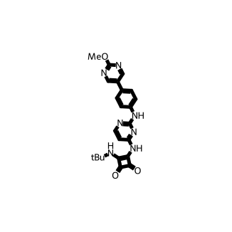 COc1ncc(-c2ccc(Nc3nccc(Nc4c(NC(C)(C)C)c(=O)c4=O)n3)cc2)cn1